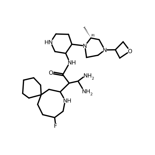 C[C@@H]1CN(C2COC2)CCN1C1CCNCC1NC(=O)C(C(N)N)C1CC2(CCCCC2)CCC(F)CN1